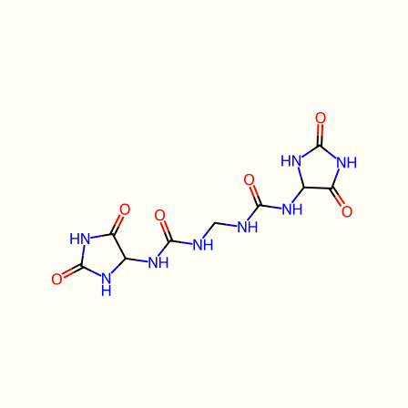 O=C(NCNC(=O)NC1NC(=O)NC1=O)NC1NC(=O)NC1=O